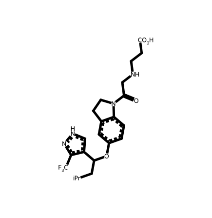 CC(C)CC(Oc1ccc2c(c1)CCN2C(=O)CNCCC(=O)O)c1c[nH]nc1C(F)(F)F